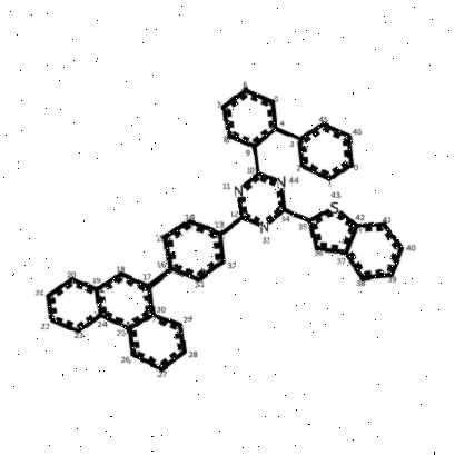 c1ccc(-c2ccccc2-c2nc(-c3ccc(-c4cc5ccccc5c5ccccc45)cc3)nc(-c3cc4ccccc4s3)n2)cc1